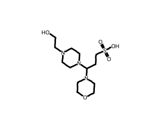 O=S(=O)(O)CCC(N1CCOCC1)N1CCN(CCO)CC1